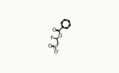 O=C(OC(F)C[N+](=O)[O-])c1ccccc1